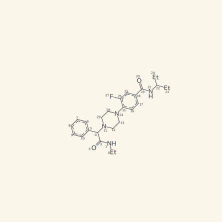 CCNC(=O)C(c1ccccc1)N1CCN(c2ccc(C(=O)NC(CC)CC)cc2F)CC1